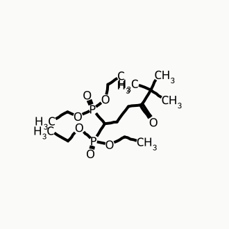 CCOP(=O)(OCC)C(CCC(=O)C(C)(C)C)P(=O)(OCC)OCC